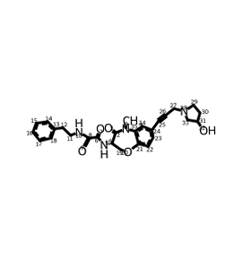 CN1C(=O)[C@@H](NC(=O)C(=O)NCCc2ccccc2)COc2ccc(C#CCN3CCC(O)C3)cc21